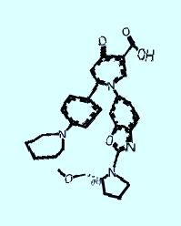 COC[C@H]1CCCN1c1nc2ccc(-n3cc(C(=O)O)c(=O)cc3-c3ccc(N4CCCCC4)cc3)cc2o1